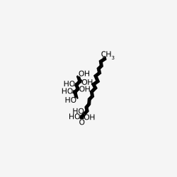 CCCCCCCCCCCCCCCCC(O)(O)C(=O)O.OCC(O)C(O)C(O)C(O)CO